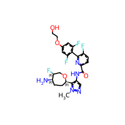 Cn1ncc(NC(=O)c2ccc(F)c(-c3c(F)cc(OCCO)cc3F)n2)c1[C@H]1CC[C@@H](N)[C@@H](F)CO1